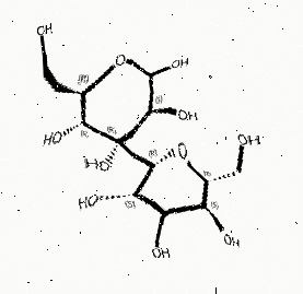 OC[C@H]1OC(O)[C@@H](O)[C@@](O)([C@@H]2O[C@H](CO)[C@@H](O)C(O)[C@@H]2O)[C@@H]1O